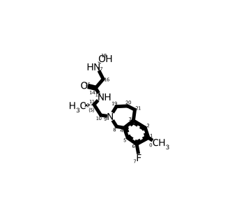 Cc1cc2c(cc1F)CN(C[C@H](C)NC(=O)CNO)CCC2